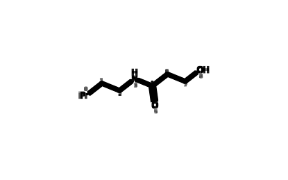 CC(C)CCNC(=O)CCO